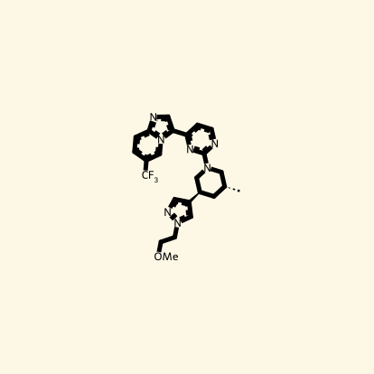 COCCn1cc([C@@H]2C[C@@H](C)CN(c3nccc(-c4cnc5ccc(C(F)(F)F)cn45)n3)C2)cn1